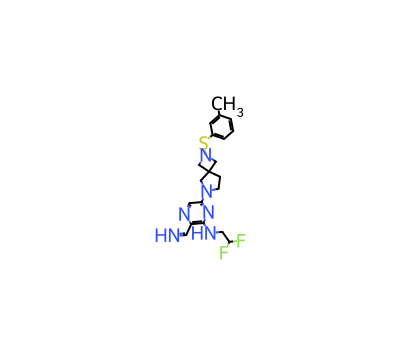 Cc1cccc(SN2CC3(CCN(c4cnc(C=N)c(NCC(F)F)n4)C3)C2)c1